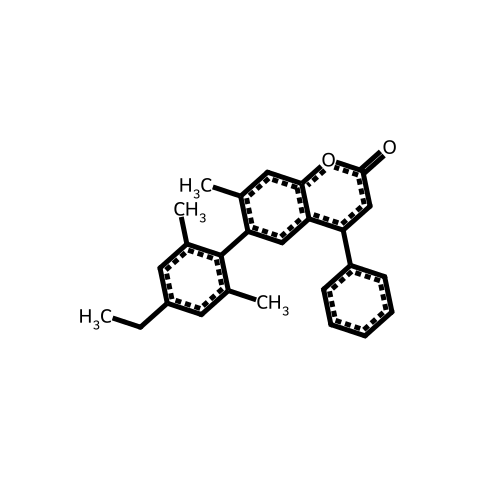 CCc1cc(C)c(-c2cc3c(-c4ccccc4)cc(=O)oc3cc2C)c(C)c1